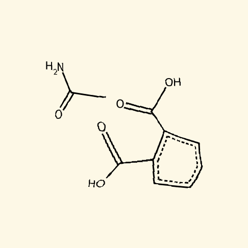 CC(N)=O.O=C(O)c1ccccc1C(=O)O